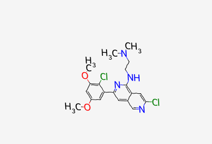 COc1cc(OC)c(Cl)c(-c2cc3cnc(Cl)cc3c(NCCN(C)C)n2)c1